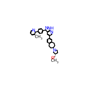 COC[C@H]1CCN([C@H]2CCc3ccc(-c4cnc5[nH]nc(-c6ccc(-c7ncccc7C)cc6)c5c4)cc3CC2)C1